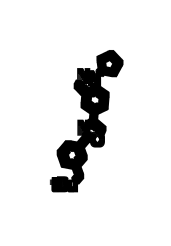 CC(C)(C)Cc1cccc(-c2nc(-c3ccc4c(cnn4C4CCCC4)c3)co2)c1